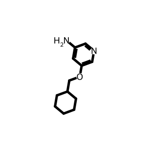 Nc1cncc(OCC2CCCCC2)c1